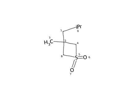 CC(C)CC1(C)CS(=O)(=O)C1